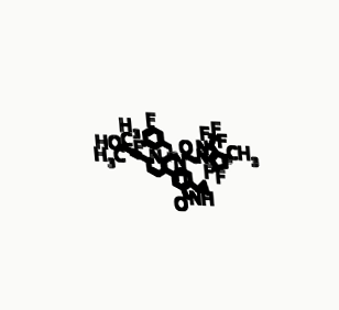 C[C@H]1CC(F)(F)c2c1c(C(F)(F)F)nn2CC(=O)N[C@@H](Cc1cc(F)cc(F)c1)c1nc(C#CC(C)(C)O)ccc1-c1ccc2c(c1)C(=O)NC21CC1